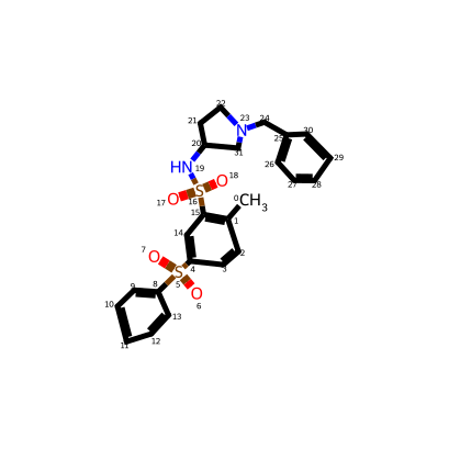 Cc1ccc(S(=O)(=O)c2ccccc2)cc1S(=O)(=O)NC1CCN(Cc2ccccc2)C1